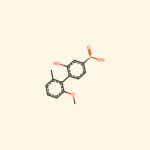 COc1cccc(C)c1-c1ccc(S(=O)O)cc1O